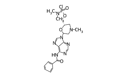 CN1CC(n2cnc3c(NC(=O)c4ccccc4)ncnc32)O[C@H](COP(=O)(Cl)N(C)C)C1